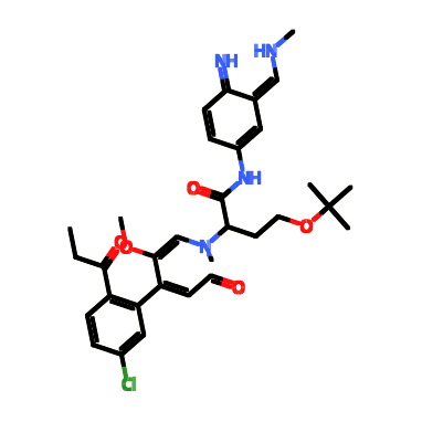 CCC(=O)c1ccc(Cl)cc1C(=C/C=O)/C(=C\N(C)C(CCOC(C)(C)C)C(=O)NC1=C/C(=C/NC)C(=N)C=C1)OC